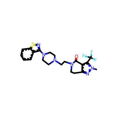 Cn1nc2c(c1C(F)(F)F)C(=O)N(CCN1CCN(c3nsc4ccccc34)CC1)CC2